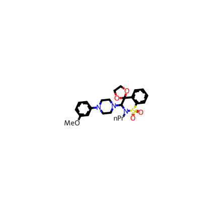 CCCN1C(N2CCN(c3cccc(OC)c3)CC2)C2(OCCO2)c2ccccc2S1(=O)=O